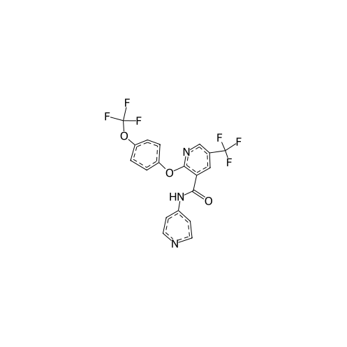 O=C(Nc1ccncc1)c1cc(C(F)(F)F)cnc1Oc1ccc(OC(F)(F)F)cc1